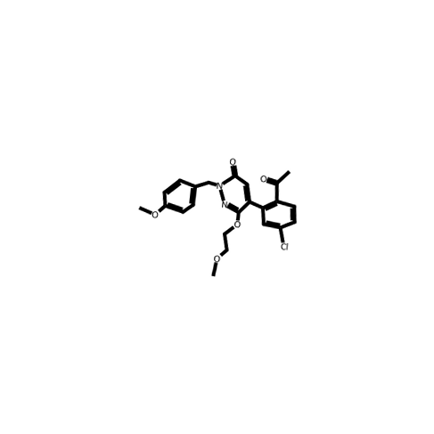 COCCOc1nn(Cc2ccc(OC)cc2)c(=O)cc1-c1cc(Cl)ccc1C(C)=O